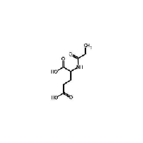 CCC(=O)NC(CCC(=O)O)C(=O)O